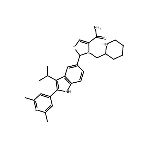 Cc1cc(-c2[nH]c3ccc(C4OC=C(C(N)=O)N4CC4CCCCN4)cc3c2C(C)C)cc(C)n1